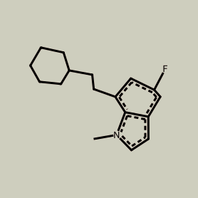 Cn1ccc2cc(F)cc(CCC3CCCCC3)c21